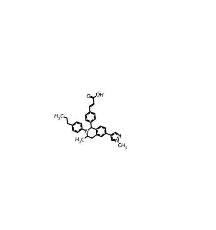 CCCc1ccc(N2C(C)Cc3cc(-c4cnn(C)c4)ccc3C2c2ccc(/C=C/C(=O)O)cc2)cc1